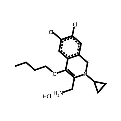 CCCCOC1=C(CN)N(C2CC2)Cc2cc(Cl)c(Cl)cc21.Cl